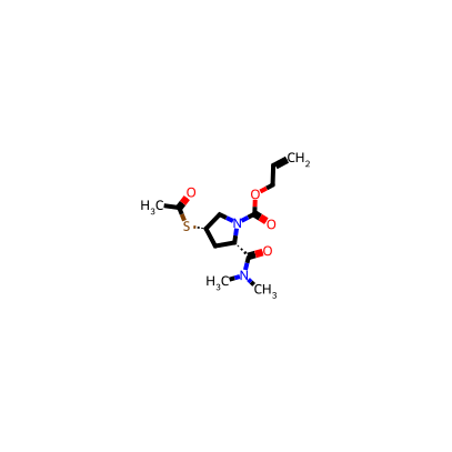 C=CCOC(=O)N1C[C@@H](SC(C)=O)C[C@H]1C(=O)N(C)C